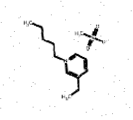 CCCCC[n+]1cccc(CC)c1.CS(=O)(=O)[O-]